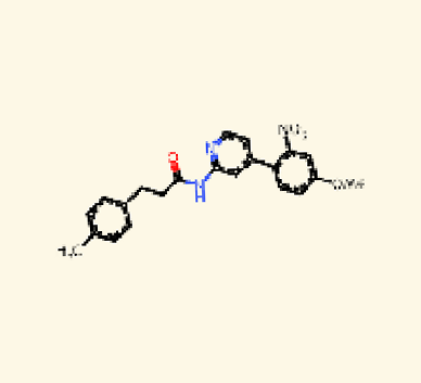 COc1ccc(-c2ccnc(NC(=O)CCc3ccc(C)cc3)c2)c([N+](=O)[O-])c1